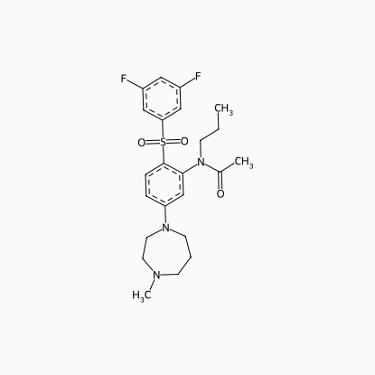 CCCN(C(C)=O)c1cc(N2CCCN(C)CC2)ccc1S(=O)(=O)c1cc(F)cc(F)c1